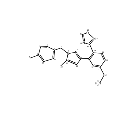 Cc1ccc(Cn2nc(-c3cc(CN)ccc3-c3ncon3)cc2C)cc1